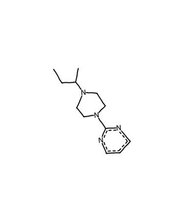 CCC(C)N1CCN(c2ncccn2)CC1